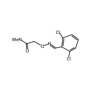 CNC(=O)CO/N=C/c1c(Cl)cccc1Cl